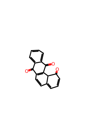 O=C1C2=C(C(=O)c3ccccc31)C1C(=O)C=CC=C1C=C2